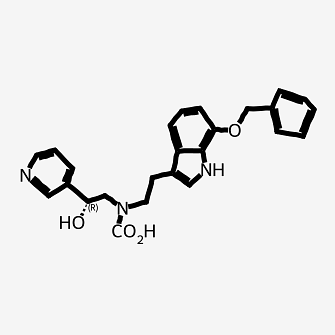 O=C(O)N(CCc1c[nH]c2c(OCc3ccccc3)cccc12)C[C@H](O)c1cccnc1